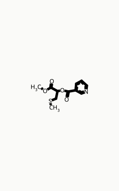 COC(=O)C(CSC)OC(=O)c1cccnc1